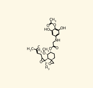 CO[C@@H]1[C@H](OC(=O)CNc2cc(O)c(OC(C)=O)c(O)c2)CC[C@]2(CO2)[C@H]1[C@@]1(C)OC1CC=C(C)C